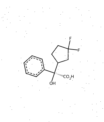 O=C(O)[C@](O)(c1ccccc1)C1CCC(F)(F)C1